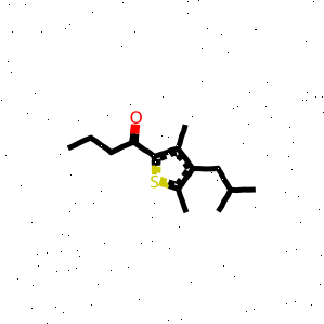 CCCC(=O)c1sc(C)c(CC(C)C)c1C